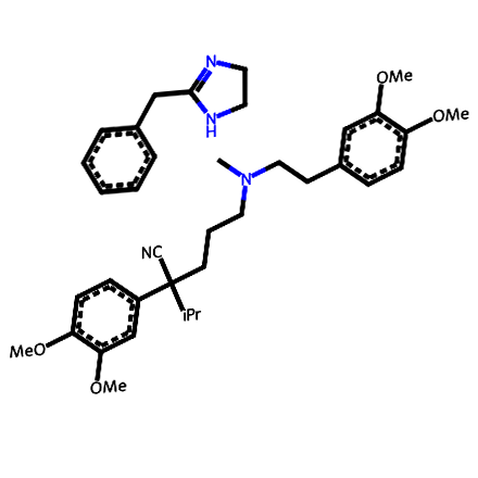 COc1ccc(CCN(C)CCCC(C#N)(c2ccc(OC)c(OC)c2)C(C)C)cc1OC.c1ccc(CC2=NCCN2)cc1